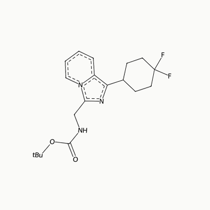 CC(C)(C)OC(=O)NCc1nc(C2CCC(F)(F)CC2)c2ccccn12